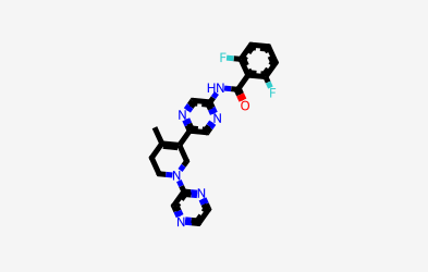 CC1=C(c2cnc(NC(=O)c3c(F)cccc3F)cn2)CN(c2cnccn2)CC1